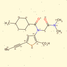 CC1CCC(C(=O)N(CC(=O)N(C)C)c2cc(C#CC(C)(C)C)sc2C(=O)O)CC1